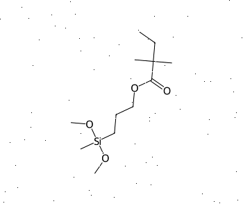 CCC(C)(C)C(=O)OCCC[Si](C)(OC)OC